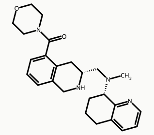 CN(C[C@H]1Cc2c(cccc2C(=O)N2CCOCC2)CN1)[C@H]1CCCc2cccnc21